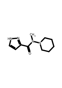 CN(C(=O)c1cc[nH]n1)N1CCCCC1